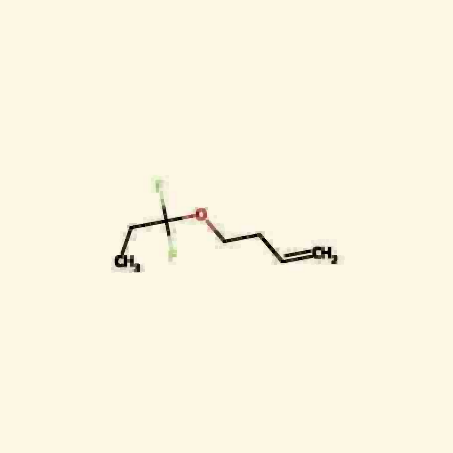 C=CCCOC(F)(F)CC